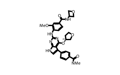 CNC(=O)c1ccc(-c2c[nH]c3nc(Nc4ccc(C(=O)NC5COC5)cc4OC)nc(O[C@H]4CCOC4)c23)cc1